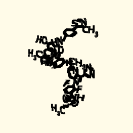 CCCS(=O)(=O)Nc1ccc(F)c(-n2cc(-c3cncnc3)c3nc(N(C)c4ccc(B[C@H](C(=O)N5C[C@H](O)C[C@H]5C(=O)NCc5ccc(-c6scnc6C)cc5)C(C)(C)C)cc4)ccc32)c1F